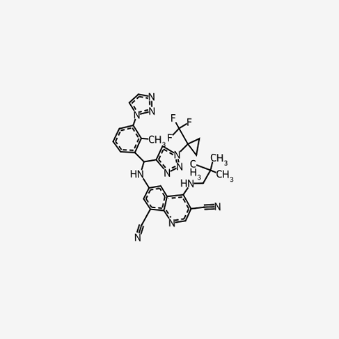 Cc1c(C(Nc2cc(C#N)c3ncc(C#N)c(NCC(C)(C)C)c3c2)c2cn(C3(C(F)(F)F)CC3)nn2)cccc1-n1ccnn1